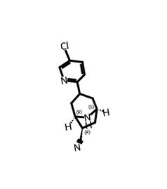 N#C[C@@H]1C[C@@H]2CC(c3ccc(Cl)cn3)C[C@H]1N2